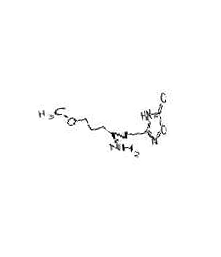 COCCCN(N)c1noc(=O)[nH]1